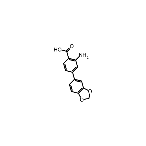 Nc1cc(-c2ccc3c(c2)OCO3)ccc1C(=O)O